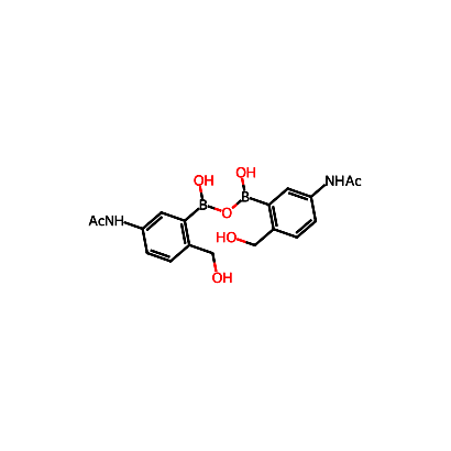 CC(=O)Nc1ccc(CO)c(B(O)OB(O)c2cc(NC(C)=O)ccc2CO)c1